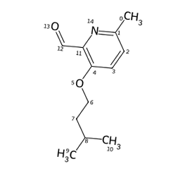 Cc1ccc(OCCC(C)C)c(C=O)n1